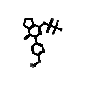 COc1ccc(-n2nc(OS(=O)(=O)C(F)(F)F)c3c(c2=O)CCC3)cn1